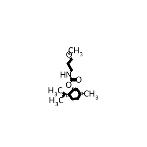 COCCCNC(=O)O[C@@H]1C[C@H](C)CC[C@H]1C(C)C